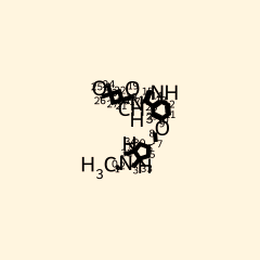 CCN1C[C@H]2C[C@@H](CCOc3ccc4[nH]cc(NC(=O)C5(C)CC6(COC6)C5)c4c3)C[C@H]2C1